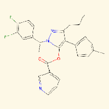 CCCc1nn(C(C)c2ccc(F)c(F)c2)c(OC(=O)c2cccnc2)c1-c1ccc(C)cc1